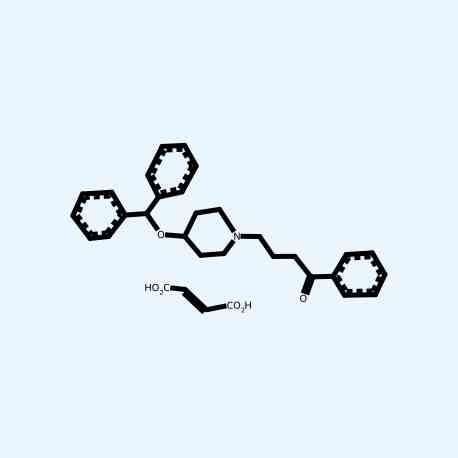 O=C(CCCN1CCC(OC(c2ccccc2)c2ccccc2)CC1)c1ccccc1.O=C(O)C=CC(=O)O